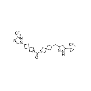 O=C(N1CC2(CC(Cc3cc(C4(C(F)(F)F)CC4)[nH]n3)C2)C1)N1CC2(CC(n3cnc(C(F)(F)F)n3)C2)C1